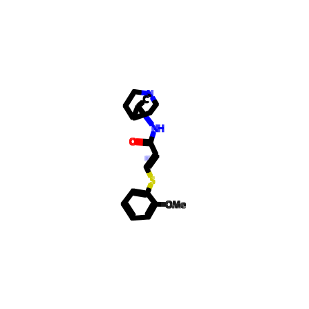 COc1ccccc1S/C=C/C(=O)NC1CN2CCC1CC2